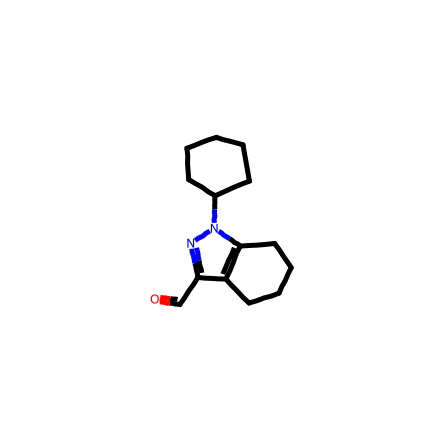 O=Cc1nn(C2CCCCC2)c2c1CCCC2